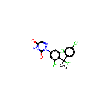 CC(Cl)(c1ccc(Cl)cc1)c1c(Cl)cc(-n2ncc(=O)[nH]c2=O)cc1Cl